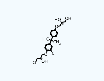 CC(C)(c1ccc(OC[C@@H](O)CO)cc1)c1ccc(OC[C@H](O)CCl)c(Cl)c1